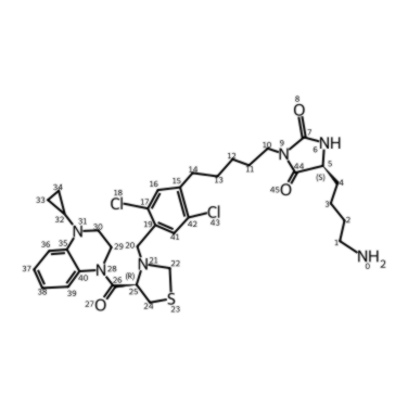 NCCCC[C@@H]1NC(=O)N(CCCCCc2cc(Cl)c(CN3CSC[C@H]3C(=O)N3CCN(C4CC4)c4ccccc43)cc2Cl)C1=O